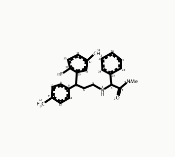 CNC(=O)C(NCCC(c1ccc(C(F)(F)F)cc1)c1cc(C)ccc1F)c1ccccc1